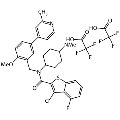 CNC1CCC(N(Cc2cc(-c3ccnc(C)c3)ccc2OC)C(=O)c2sc3cccc(F)c3c2Cl)CC1.O=C(O)C(F)(F)F.O=C(O)C(F)(F)F